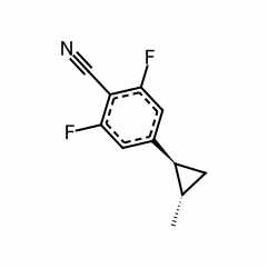 C[C@H]1C[C@@H]1c1cc(F)c(C#N)c(F)c1